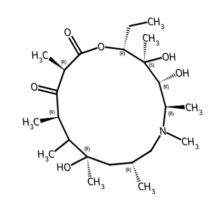 CC[C@H]1OC(=O)[C@H](C)C(=O)[C@H](C)C(C)[C@](C)(O)C[C@@H](C)CN(C)[C@H](C)[C@@H](O)[C@]1(C)O